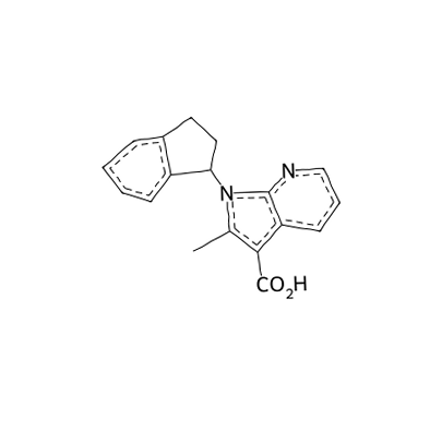 Cc1c(C(=O)O)c2cccnc2n1C1CCc2ccccc21